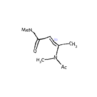 CNC(=O)/C=C(/C)N(C)C(C)=O